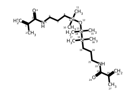 C=C(C)C(=O)NCCC[Si](C)(C)O[Si](C)(C)[Si](C)(C)CCCNC(=O)C(=C)C